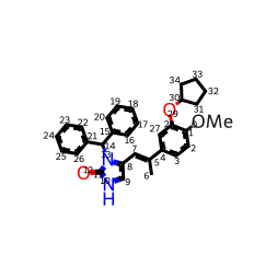 COc1ccc(/C(C)=C/c2c[nH]c(=O)n2C(c2ccccc2)c2ccccc2)cc1OC1CCCC1